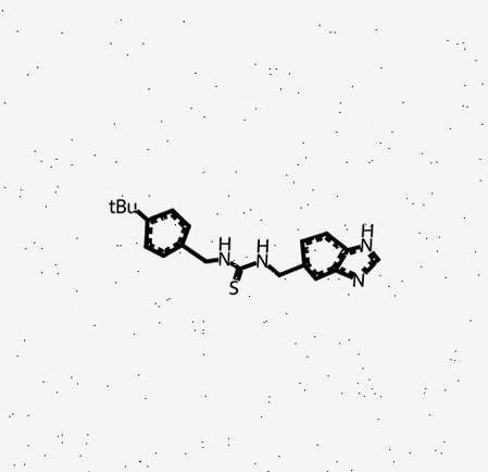 CC(C)(C)c1ccc(CNC(=S)NCc2ccc3[nH]cnc3c2)cc1